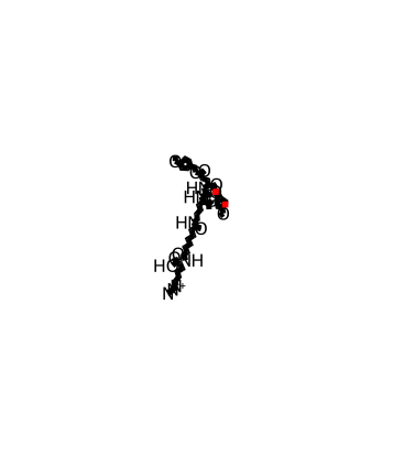 COc1ccc(COC(=O)CCC(NC(=O)NC(CCCCNC(=O)CCCCCCC(=O)NC(CCCCN=[N+]=[N-])C(=O)O)C(C)=O)C(=O)OCc2ccc(OC)cc2)cc1